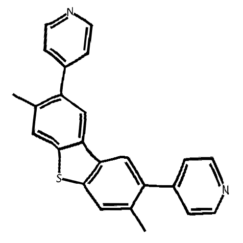 Cc1cc2sc3cc(C)c(-c4ccncc4)cc3c2cc1-c1ccncc1